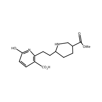 COC(=O)C1CCC(CCc2nc(O)ccc2C(=O)O)NC1